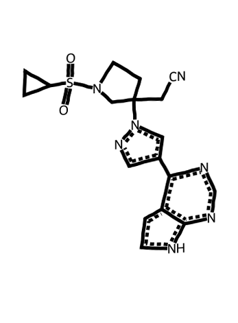 N#CCC1(n2cc(-c3ncnc4[nH]ccc34)cn2)CCN(S(=O)(=O)C2CC2)C1